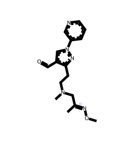 CO/N=C(\C)CN(C)CCc1nn(-c2cccnc2)cc1C=O